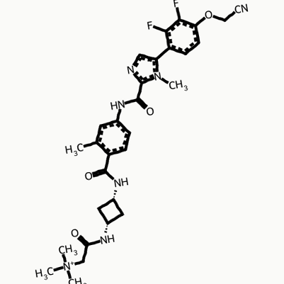 Cc1cc(NC(=O)c2ncc(-c3ccc(OCC#N)c(F)c3F)n2C)ccc1C(=O)N[C@H]1C[C@@H](NC(=O)C[N+](C)(C)C)C1